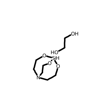 C1CN2CCO[SiH](O1)OCC2.OCCO